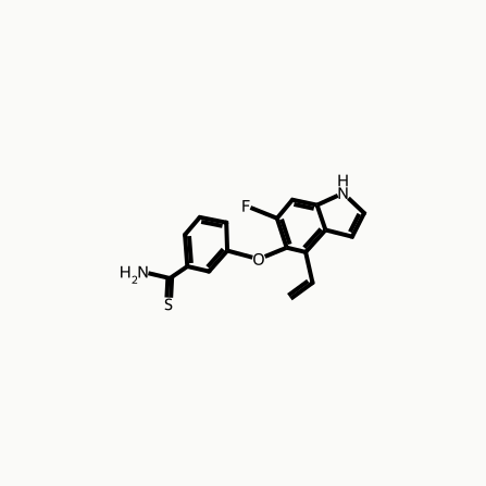 C=Cc1c(Oc2cccc(C(N)=S)c2)c(F)cc2[nH]ccc12